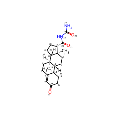 C[C@]12CC[C@H]3[C@@H](CCC4=CC(=O)CC[C@@]43C)[C@@H]1CC[C@@H]2C(=O)NC(N)=O